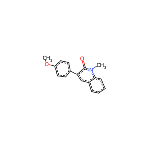 COc1ccc(-c2cc3ccccc3n(C)c2=O)cc1